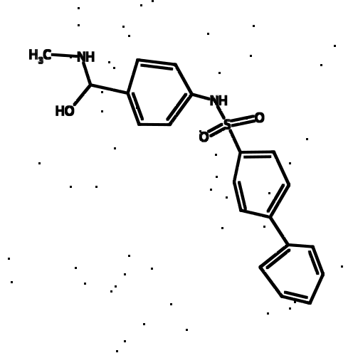 CNC(O)c1ccc(NS(=O)(=O)c2ccc(-c3ccccc3)cc2)cc1